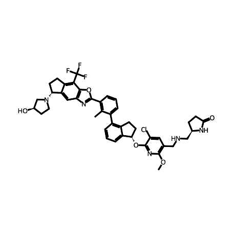 COc1nc(O[C@H]2CCc3c(-c4cccc(-c5nc6cc7c(c(C(F)(F)F)c6o5)CC[C@H]7N5CC[C@@H](O)C5)c4C)cccc32)c(Cl)cc1CNC[C@H]1CCC(=O)N1